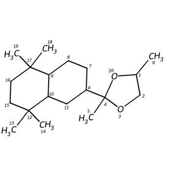 CC1COC(C)(C2CCC3C(C2)C(C)(C)CCC3(C)C)O1